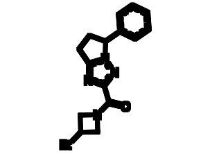 CCC1CN(C(=O)c2nc3n(n2)C(c2ccccc2)CC3)C1